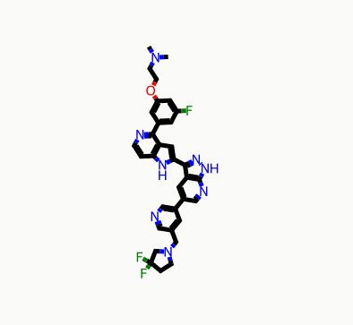 CN(C)CCOc1cc(F)cc(-c2nccc3[nH]c(-c4n[nH]c5ncc(-c6cncc(CN7CCC(F)(F)C7)c6)cc45)cc23)c1